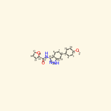 COc1ccc(-c2ccc3c(NC(=O)c4ccco4)n[nH]c3c2)cc1